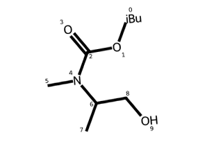 CCC(C)OC(=O)N(C)C(C)CO